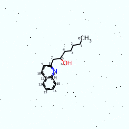 CCCCCC(O)Cc1ccc2ccccc2n1